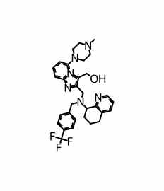 CN1CCN(c2cccc3nc(CN(Cc4ccc(C(F)(F)F)cc4)C4CCCc5cccnc54)c(CO)n23)CC1